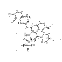 COc1ccc(CN(CC(=O)Nc2c(N)ccc(F)c2F)c2cc(N3CCN(C)CC3)nn3c(C(F)(F)F)cnc23)cc1